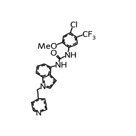 COc1cc(Cl)c(C(F)(F)F)cc1NC(=O)Nc1cccc2c1ccn2Cc1ccncc1